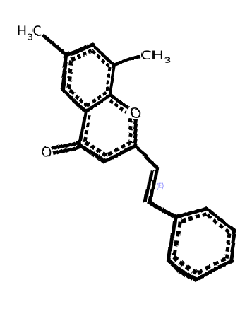 Cc1cc(C)c2oc(/C=C/c3ccccc3)cc(=O)c2c1